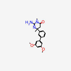 COc1cc(OC)cc(-c2cccc(C3(C)CC(=O)N(C)C(N)=N3)c2)c1